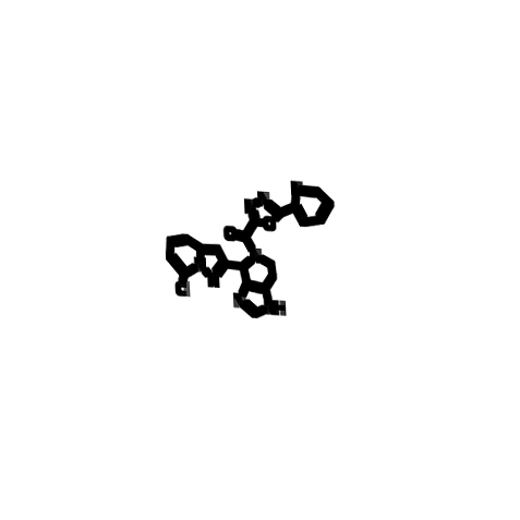 O=C(c1nnc(-c2ccccn2)o1)N1CCc2[nH]cnc2C1c1cc2cccc(Cl)n2n1